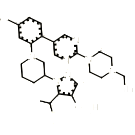 CC(C)CN1CCN(c2ncc(-c3ccc(Cl)cc3N3CCCC(n4ncc(C(=O)O)c4C(F)F)C3)cn2)CC1